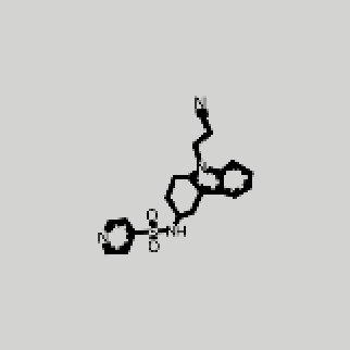 N#CCCn1c2c(c3ccccc31)CC(NS(=O)(=O)c1ccncc1)CC2